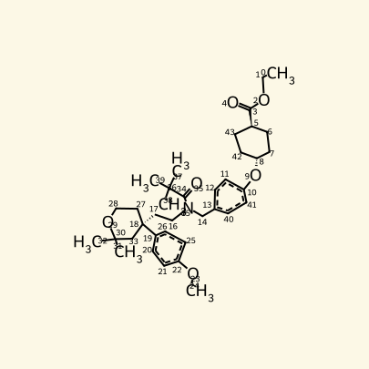 CCOC(=O)[C@H]1CC[C@H](Oc2ccc(CN(CC[C@@]3(c4ccc(OC)cc4)CCOC(C)(C)C3)C(=O)C(C)(C)C)cc2)CC1